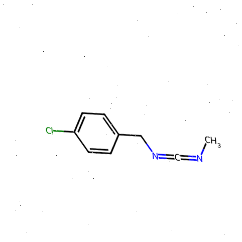 CN=C=NCc1ccc(Cl)cc1